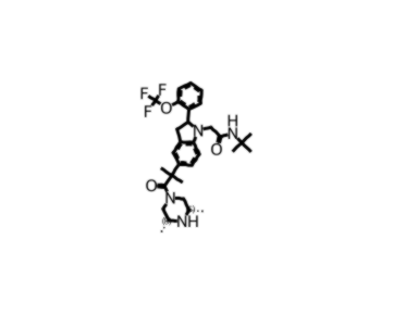 C[C@@H]1CN(C(=O)C(C)(C)c2ccc3c(c2)CC(c2ccccc2OC(F)(F)F)N3CC(=O)NC(C)(C)C)C[C@H](C)N1